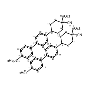 CCCCCCCCC1(C#N)CCC(c2ccc(-c3ccc(CCCCCC)cc3)cc2)CC1.CCCCCCCCC1(C#N)CCC(c2ccc(-c3ccc(CCCCCCC)cc3)cc2)CC1